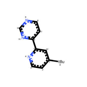 CC(C)(C)c1ccnc(-c2ccncn2)c1